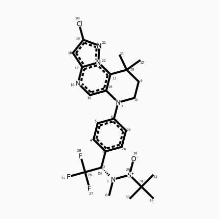 CN([C@@H](c1ccc(N2CCC(C)(C)c3c2cnc2cc(Cl)nn32)cc1)C(F)(F)F)[S+]([O-])C(C)(C)C